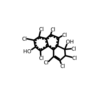 Oc1c(Cl)c(Cl)c2c(Cl)c(Cl)c3c(c2c1Cl)C(Cl)=C(Cl)C(Cl)C3(O)Cl